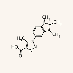 Cc1c(C)n(C)c2ccc(-n3nnc(C(=O)O)c3C)cc12